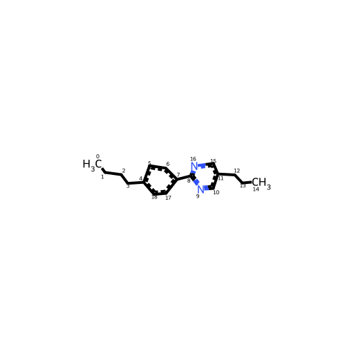 CCCCc1ccc(-c2ncc(CCC)cn2)cc1